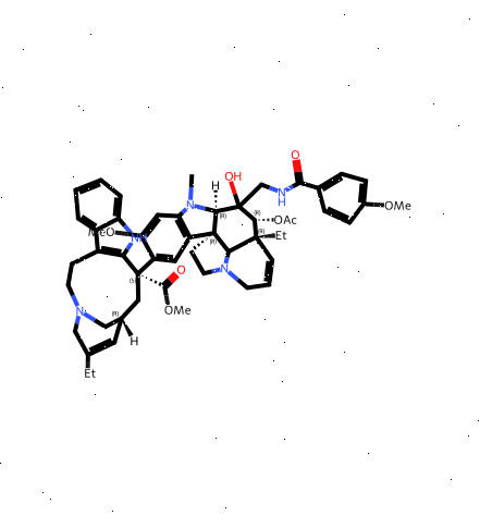 CCC1=C[C@@H]2CN(CCc3c([nH]c4ccccc34)[C@@](C(=O)OC)(c3cc4c(cc3OC)N(C)[C@H]3C(O)(CNC(=O)c5ccc(OC)cc5)[C@H](OC(C)=O)[C@]5(CC)C=CCN6CC[C@]43C65)C2)C1